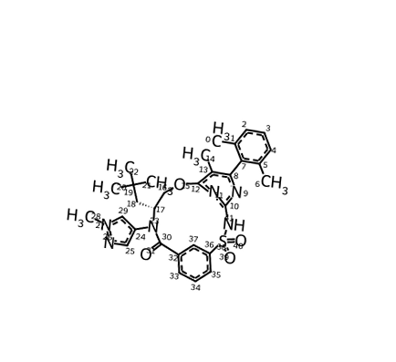 Cc1cccc(C)c1-c1nc2nc(c1C)OC[C@@H](CC(C)(C)C)N(c1cnn(C)c1)C(=O)c1cccc(c1)S(=O)(=O)N2